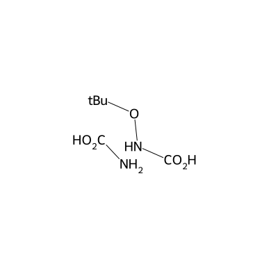 CC(C)(C)ONC(=O)O.NC(=O)O